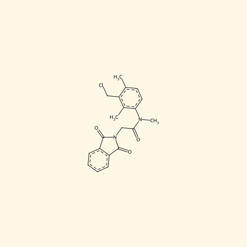 Cc1ccc(N(C)C(=O)CN2C(=O)c3ccccc3C2=O)c(C)c1CCl